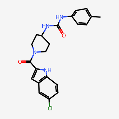 Cc1ccc(NC(=O)NC2CCN(C(=O)c3cc4cc(Cl)ccc4[nH]3)CC2)cc1